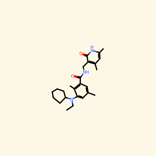 CCN(c1cc(C)cc(C(=O)NCc2c(C)cc(C)[nH]c2=O)c1C)C1CCCCC1